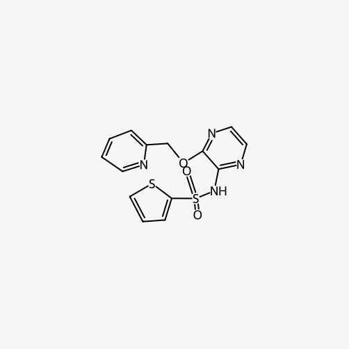 O=S(=O)(Nc1nccnc1OCc1ccccn1)c1cccs1